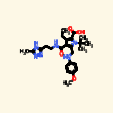 CCc1c(C(=O)NCCc2nnc(C)[nH]2)c(CNc2ccc(OC)cc2)n(C(C)(C)C)c1C(=O)O